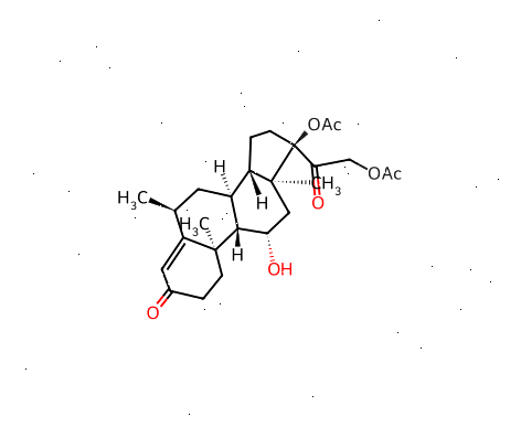 CC(=O)OCC(=O)[C@@]1(OC(C)=O)CC[C@H]2[C@@H]3C[C@H](C)C4=CC(=O)CC[C@]4(C)[C@H]3[C@@H](O)C[C@@]21C